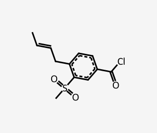 CC=CCc1ccc(C(=O)Cl)cc1S(C)(=O)=O